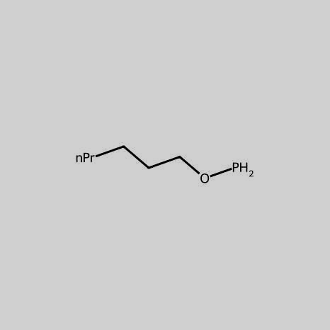 CCCCCCOP